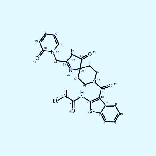 CCNC(=O)Nc1sc2ccccc2c1C(=O)N1CCC2(CC1)N=C(Cn1ccccc1=O)NC2=O